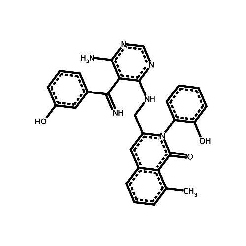 Cc1cccc2cc(CNc3ncnc(N)c3C(=N)c3cccc(O)c3)n(-c3ccccc3O)c(=O)c12